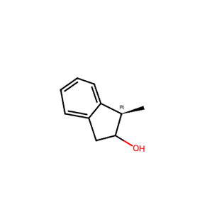 C[C@@H]1c2ccccc2CC1O